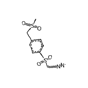 CS(=O)(=O)Cc1ccc(S(=O)(=O)C=[N+]=[N-])cc1